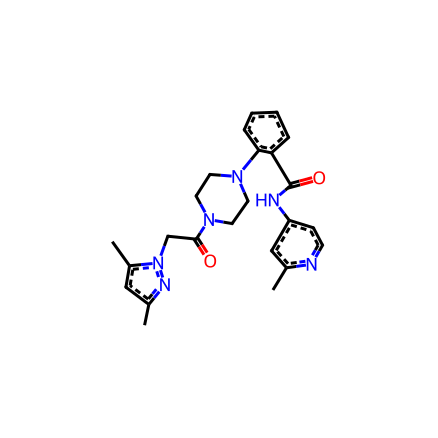 Cc1cc(NC(=O)c2ccccc2N2CCN(C(=O)Cn3nc(C)cc3C)CC2)ccn1